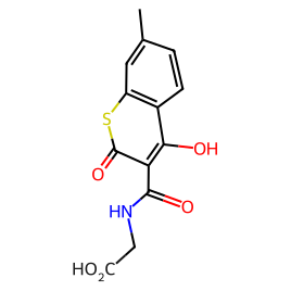 Cc1ccc2c(O)c(C(=O)NCC(=O)O)c(=O)sc2c1